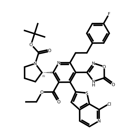 CCOC(=O)c1c([C@@H]2CCCN2C(=O)OC(C)(C)C)nc(CCc2ccc(F)cc2)c(-c2noc(=O)[nH]2)c1-c1cc2ccnc(Cl)c2s1